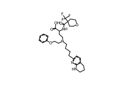 O=C(O)C(CCN(CCCCc1ccc2c(n1)NCCC2)CCOc1ccccc1)NC(=O)C1(C(F)(F)F)CCOCC1